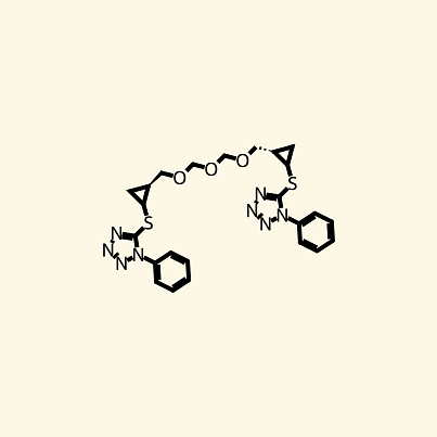 c1ccc(-n2nnnc2SC2C[C@H]2COCOCOC[C@@H]2CC2Sc2nnnn2-c2ccccc2)cc1